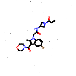 C=CC(=O)N1CC(NC(=O)Cn2c(C)c(C(=O)N3CCO[C@@H](C)C3)c3cc(Br)ccc32)C1